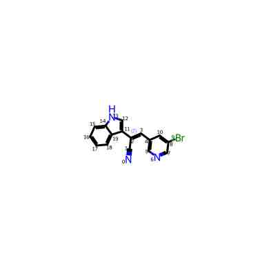 N#C/C(=C\c1cncc(Br)c1)c1c[nH]c2ccccc12